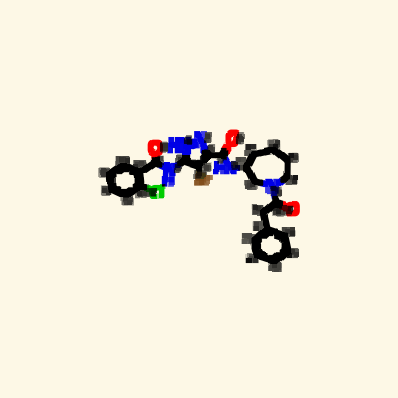 O=C(Nc1[nH]nc(C(=O)N[C@@H]2CCCCN(C(=O)Cc3ccccc3)C2)c1Br)c1ccccc1Cl